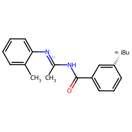 CC[C@@H](C)c1cccc(C(=O)N/C(C)=N/c2ccccc2C)c1